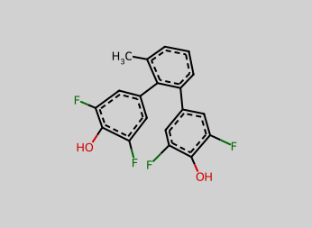 Cc1cccc(-c2cc(F)c(O)c(F)c2)c1-c1cc(F)c(O)c(F)c1